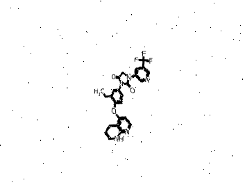 CCc1cc(N2C(=O)CN(c3cncc(C(F)(F)F)c3)C2=O)ccc1Oc1ccnc2c1CCCN2